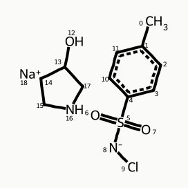 Cc1ccc(S(=O)(=O)[N-]Cl)cc1.OC1CCNC1.[Na+]